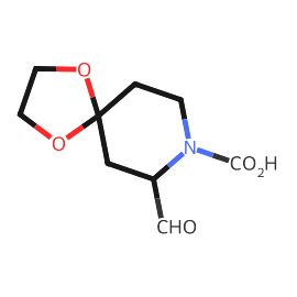 O=CC1CC2(CCN1C(=O)O)OCCO2